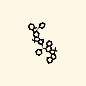 CC1(C)c2cc(N(c3ccccc3)c3cc4c(c5ccccc35)C(C)(C)c3ccc5ccccc5c3-4)ccc2-c2cc3c(cc21)c1ccccc1n3-c1ccccc1